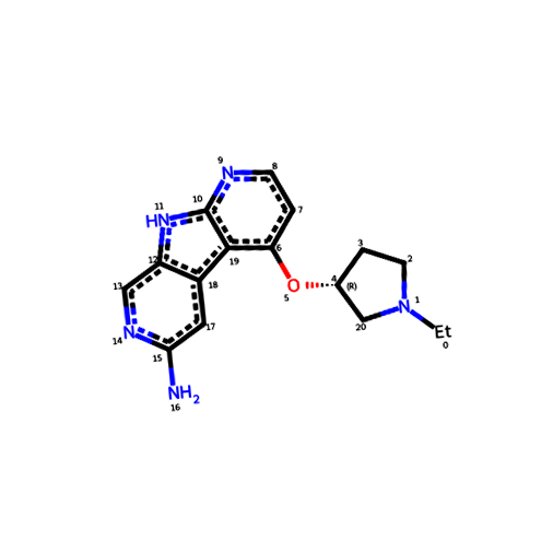 CCN1CC[C@@H](Oc2ccnc3[nH]c4cnc(N)cc4c23)C1